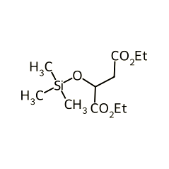 CCOC(=O)CC(O[Si](C)(C)C)C(=O)OCC